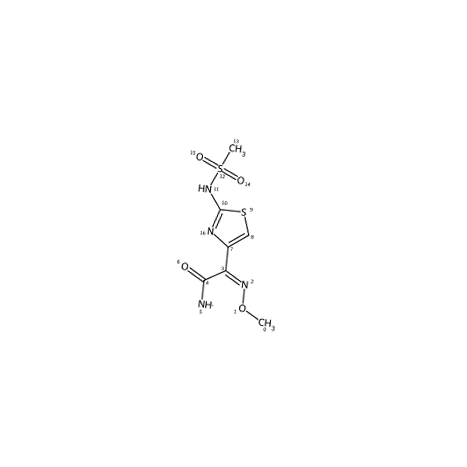 CON=C(C([NH])=O)c1csc(NS(C)(=O)=O)n1